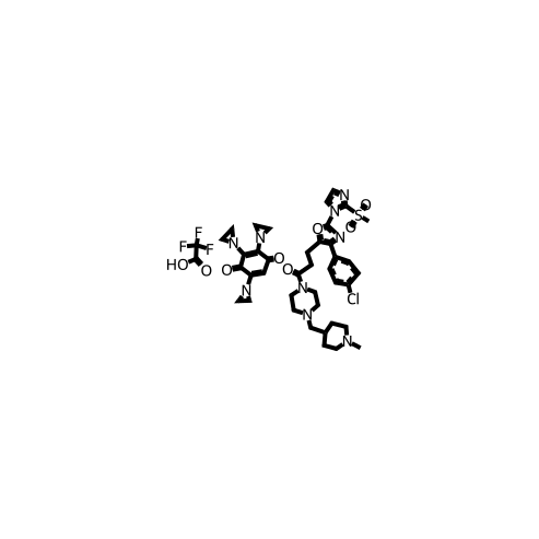 CN1CCC(CN2CCN(C(=O)CCc3oc(-n4ccnc4S(C)(=O)=O)nc3-c3ccc(Cl)cc3)CC2)CC1.O=C(O)C(F)(F)F.O=C1C=C(N2CC2)C(=O)C(N2CC2)=C1N1CC1